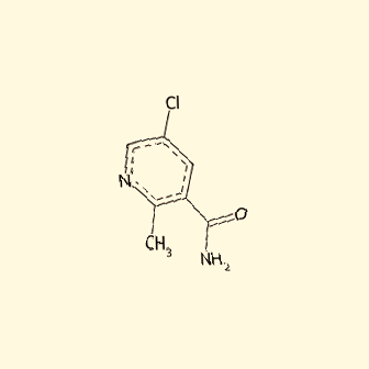 Cc1ncc(Cl)cc1C(N)=O